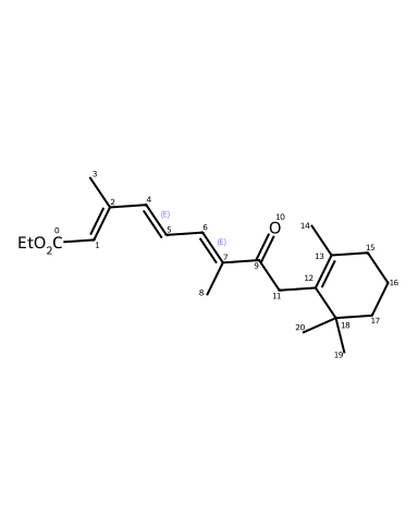 CCOC(=O)C=C(C)/C=C/C=C(\C)C(=O)CC1=C(C)CCCC1(C)C